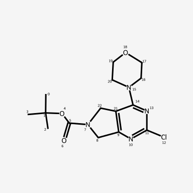 CC(C)(C)OC(=O)N1Cc2nc(Cl)nc(N3CCOCC3)c2C1